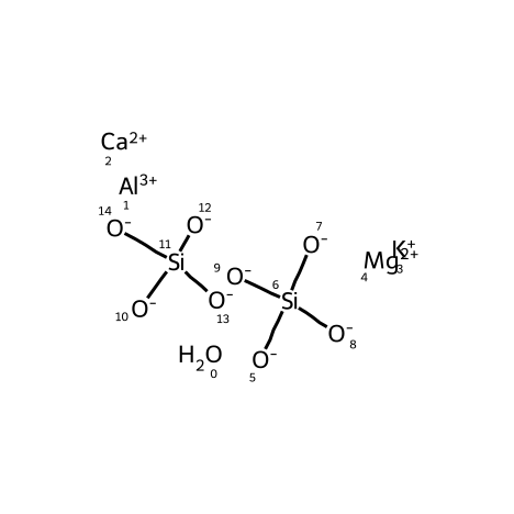 O.[Al+3].[Ca+2].[K+].[Mg+2].[O-][Si]([O-])([O-])[O-].[O-][Si]([O-])([O-])[O-]